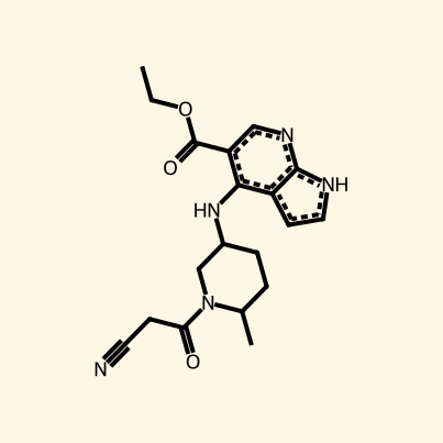 CCOC(=O)c1cnc2[nH]ccc2c1NC1CCC(C)N(C(=O)CC#N)C1